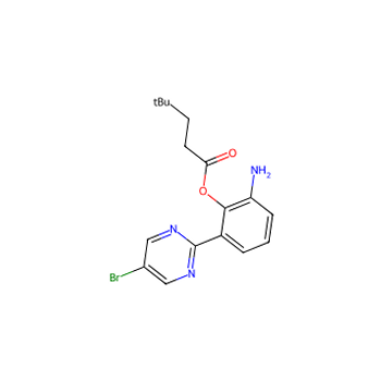 CC(C)(C)CCC(=O)Oc1c(N)cccc1-c1ncc(Br)cn1